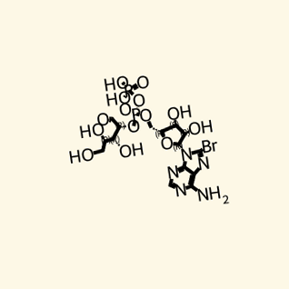 Nc1ncnc2c1nc(Br)n2[C@@H]1O[C@H](COP(=O)(O[C@@H](C=O)[C@H](O)[C@H](O)CO)OP(=O)(O)O)[C@@H](O)[C@H]1O